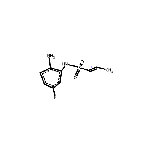 C/C=C/S(=O)(=O)Nc1cc(F)ccc1N